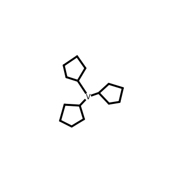 C1CC[CH]([V]([CH]2CCCC2)[CH]2CCCC2)C1